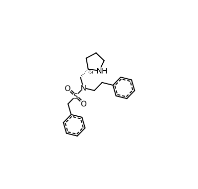 O=S(=O)(Cc1ccccc1)N(CCc1ccccc1)C[C@@H]1CCCN1